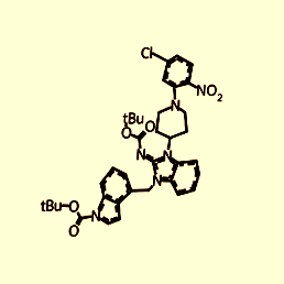 CC(C)(C)OC(=O)N=c1n(Cc2cccc3c2ccn3C(=O)OC(C)(C)C)c2ccccc2n1C1CCN(c2cc(Cl)ccc2[N+](=O)[O-])CC1